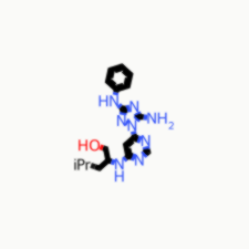 CC(C)CC(CO)Nc1cc(-n2nc(Nc3ccccc3)nc2N)ncn1